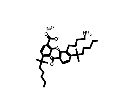 CCCCCC(C)(C)c1ccc(C(=O)[O-])c(Sc2c(C(=O)[O-])ccc(C(C)(C)CCCCC)c2CCCCN)c1.[Ni+2]